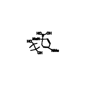 CC(C)(O)C(C)(C)O.CNC1=CCC(NC)(B(O)O)C=C1